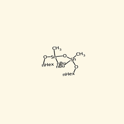 CCCCCC[O][Sn]([CH3])([CH2]CCC)[O][Sn]([CH3])([CH2]CCC)[O]CCCCCC